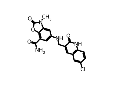 Cn1c(=O)oc2c(C(N)=O)cc(NCc3cc4cc(Cl)ccc4[nH]c3=O)cc21